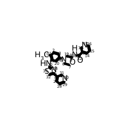 Cc1ccc(N2CCOC(NC(=O)c3cccnc3)C2)cc1Nc1nc(-c2cccnc2)cs1